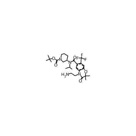 CC(C)N(C(=O)c1cc2c(cc1C(F)(F)F)OC(C)(C)C(=O)N2CCN)[C@@H]1CCCN(C(=O)OC(C)(C)C)C1